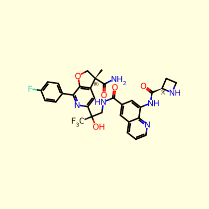 C[C@]1(C(N)=O)COc2c1cc(C(O)(CNC(=O)c1cc(NC(=O)[C@H]3CCN3)c3ncccc3c1)C(F)(F)F)nc2-c1ccc(F)cc1